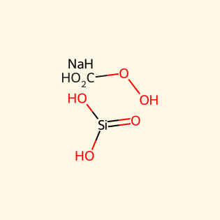 O=C(O)OO.O=[Si](O)O.[NaH]